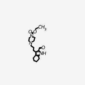 CCOC(=O)N1CCN(CCCc2c(C=O)[nH]c3c2CCCC3)CC1